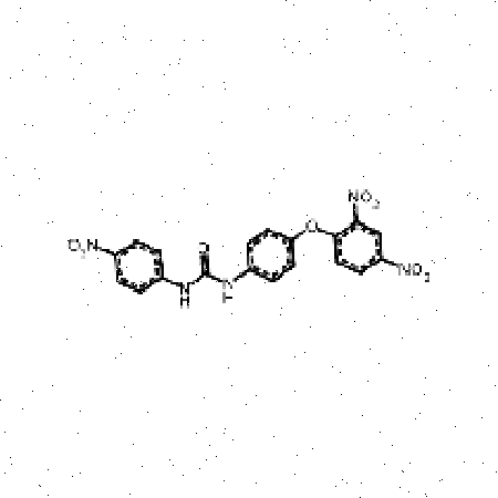 O=C(Nc1ccc(Oc2ccc([N+](=O)[O-])cc2[N+](=O)[O-])cc1)Nc1ccc([N+](=O)[O-])cc1